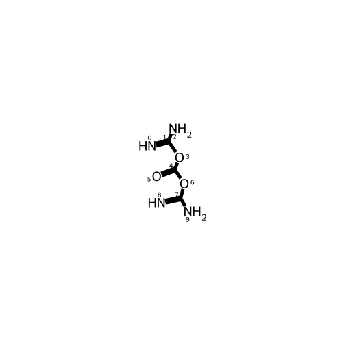 N=C(N)OC(=O)OC(=N)N